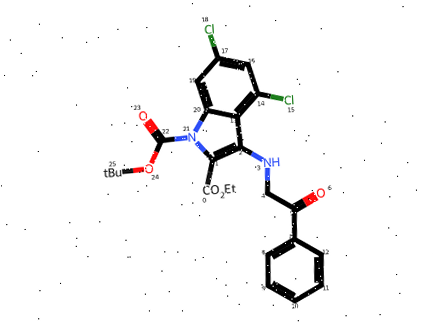 CCOC(=O)c1c(NCC(=O)c2ccccc2)c2c(Cl)cc(Cl)cc2n1C(=O)OC(C)(C)C